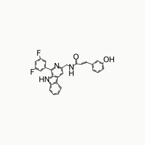 O=C(/C=C/c1cccc(O)c1)NCc1cc2c([nH]c3ccccc32)c(-c2cc(F)cc(F)c2)n1